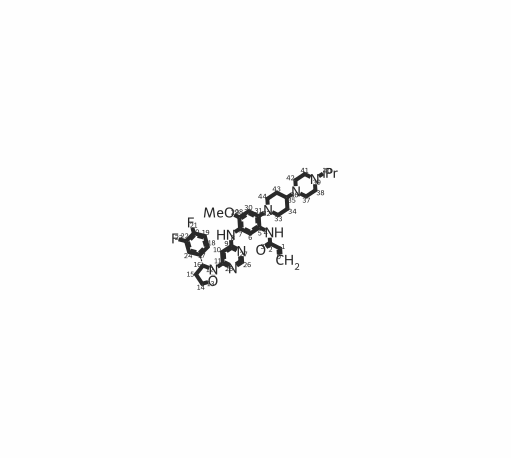 C=CC(=O)Nc1cc(Nc2cc(N3OCC[C@@H]3c3ccc(F)c(F)c3)ncn2)c(OC)cc1N1CCC(N2CCN(C(C)C)CC2)CC1